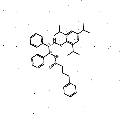 CC(C)c1cc(C(C)C)c(SN[C@@H](c2ccccc2)[C@@H](NC(=O)CCCC2=CCC=CC2)c2ccccc2)c(C(C)C)c1